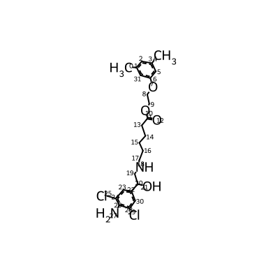 Cc1cc(C)cc(OCCOC(=O)CCCCCNCC(O)c2cc(Cl)c(N)c(Cl)c2)c1